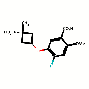 COc1cc(F)c(O[C@H]2C[C@@](C)(C(=O)O)C2)cc1C(=O)O